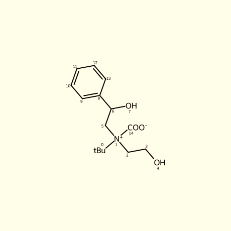 CC(C)(C)[N+](CCO)(CC(O)c1ccccc1)C(=O)[O-]